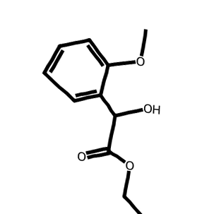 CCOC(=O)C(O)c1ccccc1OC